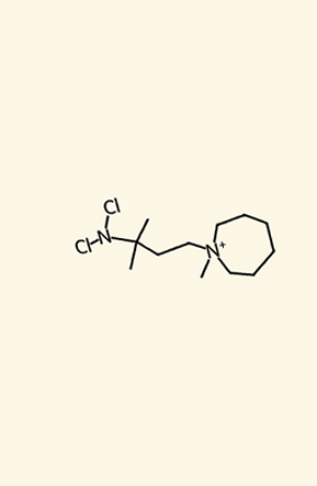 CC(C)(CC[N+]1(C)CCCCCC1)N(Cl)Cl